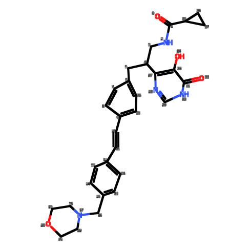 O=C(NCC(Cc1ccc(C#Cc2ccc(CN3CCOCC3)cc2)cc1)c1nc[nH]c(=O)c1O)C1CC1